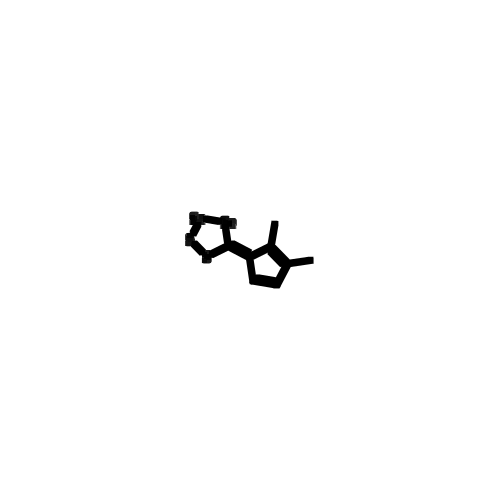 CC1=C(C)C(=C2SS[Se][Se]2)C=C1